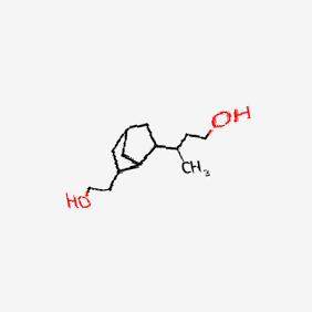 CC(CCO)C1CC2CC(CCO)C1C2